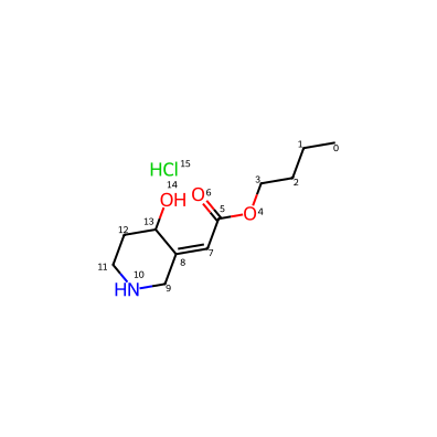 CCCCOC(=O)/C=C1/CNCCC1O.Cl